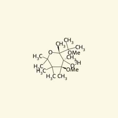 [3H]O[C@@]1(C)[C@@](C)(OC)C(C)(C)C(C)(C)O[C@]1(C)C(C)(C)OC